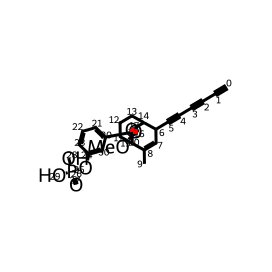 C#CC#CC#CC1C=C(C)C2CCCC1C21OOC1(OC)c1cccc(OP(=O)(O)O)c1